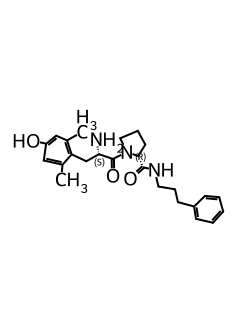 Cc1cc(O)cc(C)c1C[C@H](N)C(=O)N1CCC[C@@H]1C(=O)NCCCc1ccccc1